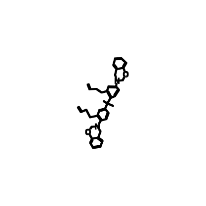 C=CCCc1cc(C(C)(C)c2ccc(N3COc4ccccc4C3)cc2CCC=C)ccc1N1COc2ccccc2C1